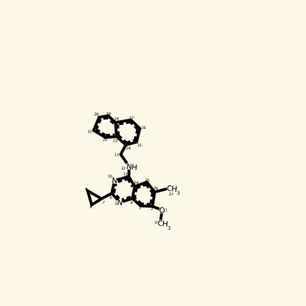 COc1cc2nc(C3CC3)nc(NCc3cccc4ccccc34)c2cc1C